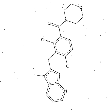 Cn1c(Cc2c(Cl)ccc(C(=O)N3CCOCC3)c2Cl)cc2ncccc21